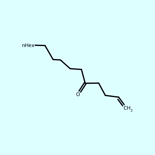 C=CCCC(=O)CCCCCCCCCCC